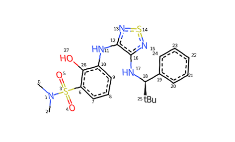 CN(C)S(=O)(=O)c1cccc(Nc2nsnc2N[C@@H](c2ccccc2)C(C)(C)C)c1O